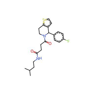 CC(C)CCNC(=O)CCC(=O)N1CCc2sccc2C1c1ccc(F)cc1